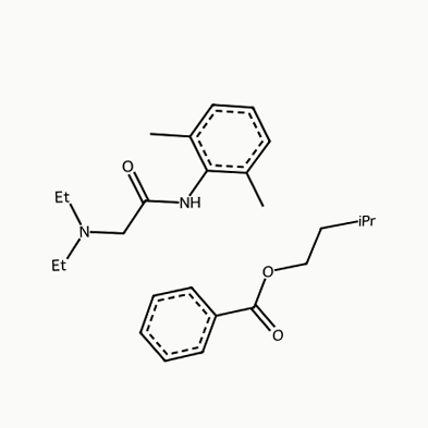 CC(C)CCOC(=O)c1ccccc1.CCN(CC)CC(=O)Nc1c(C)cccc1C